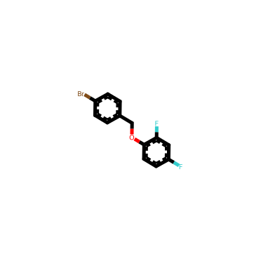 Fc1ccc(OCc2ccc(Br)cc2)c(F)c1